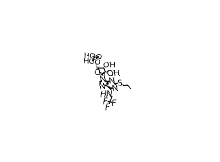 CCCSc1nc(NCC(F)(F)F)c2ncn([C@@H]3O[C@H](COP(=O)(O)O)C(O)C3O)c2n1